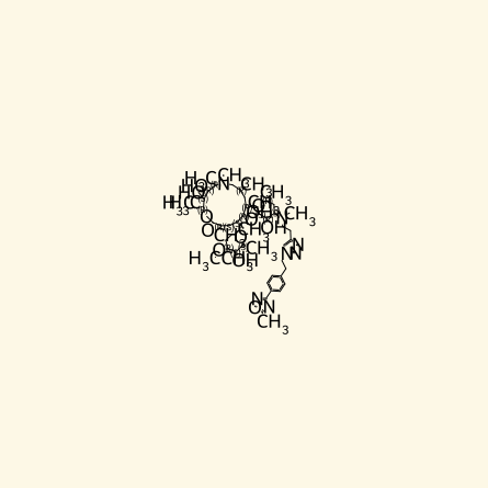 CC[C@H]1OC(=O)[C@H](C)[C@@H](C2C[C@@](C)(OC)[C@@H](O)[C@H](C)O2)[C@H](C)[C@@H](O[C@@H]2O[C@H](C)C[C@H](N(C)CCc3cn(CCc4ccc(-c5noc(C)n5)cc4)nn3)[C@H]2O)[C@](C)(O)C[C@@H](C)CN(C)[C@H](C)[C@@H](O)[C@]1(C)O